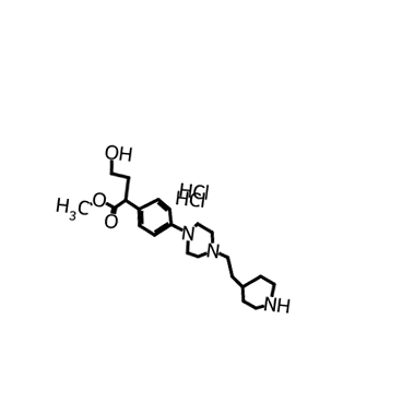 COC(=O)C(CCO)c1ccc(N2CCN(CCC3CCNCC3)CC2)cc1.Cl.Cl